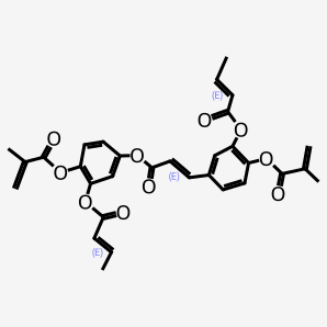 C=C(C)C(=O)Oc1ccc(/C=C/C(=O)Oc2ccc(OC(=O)C(=C)C)c(OC(=O)/C=C/C)c2)cc1OC(=O)/C=C/C